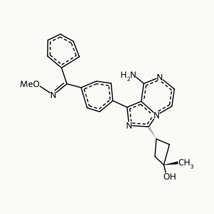 CO/N=C(\c1ccccc1)c1ccc(-c2nc([C@H]3C[C@@](C)(O)C3)n3ccnc(N)c23)cc1